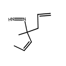 C=CCC(C)(/C=C\C)N=N